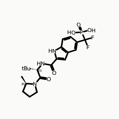 C[C@@H]1CCCN1C(=O)[C@@H](NC(=O)c1cc2cc(C(F)(F)P(=O)(O)O)ccc2[nH]1)C(C)(C)C